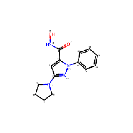 O=C(NO)c1cc(N2CCCC2)nn1-c1ccccc1